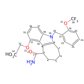 NC(=O)C1CCCCc2c1c1c(OCC(=O)O)cccc1n2Cc1ccccc1OC(F)(F)F